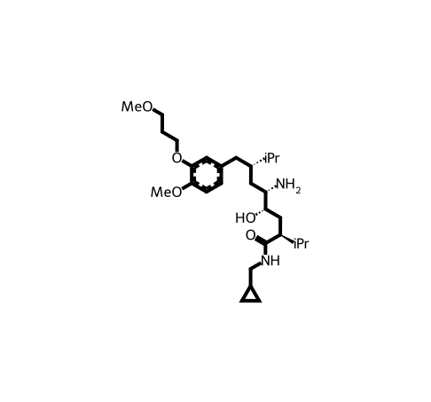 COCCCOc1cc(C[C@@H](C[C@H](N)[C@@H](O)C[C@H](C(=O)NCC2CC2)C(C)C)C(C)C)ccc1OC